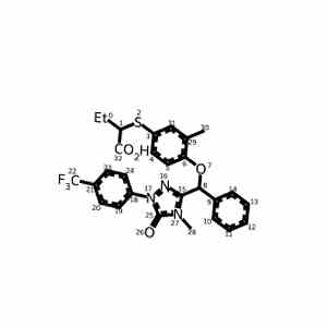 CCC(Sc1ccc(OC(c2ccccc2)c2nn(-c3ccc(C(F)(F)F)cc3)c(=O)n2C)c(C)c1)C(=O)O